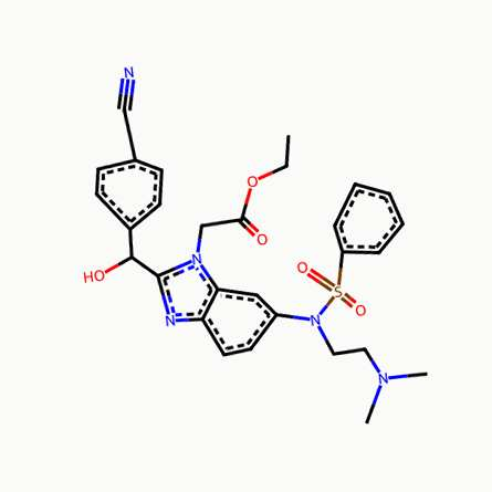 CCOC(=O)Cn1c(C(O)c2ccc(C#N)cc2)nc2ccc(N(CCN(C)C)S(=O)(=O)c3ccccc3)cc21